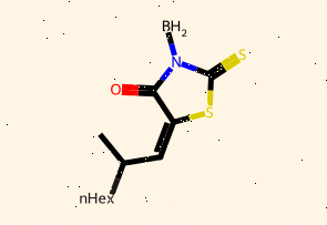 BN1C(=O)/C(=C\C(C)CCCCCC)SC1=S